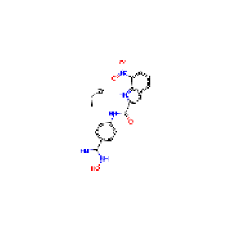 C[CH2][Zn].N=C(NO)c1ccc(NC(=O)c2cc3cccc([N+](=O)[O-])c3[nH]2)cc1